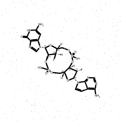 Nc1cc2c(ncn2[C@@H]2O[C@@H]3COP(=O)(S)O[C@H]4[C@H](F)[C@H](n5ccc6c(N)ncnc65)O[C@@H]4COP(=O)(S)O[C@@H]2[C@@H]3F)c(=O)[nH]1